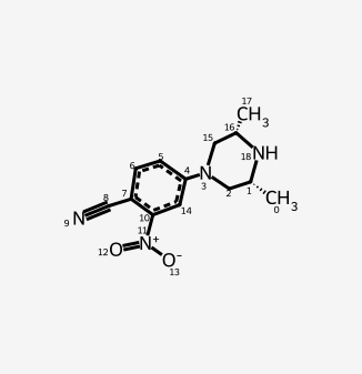 C[C@@H]1CN(c2ccc(C#N)c([N+](=O)[O-])c2)C[C@H](C)N1